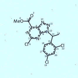 COC(=O)c1nc(Cl)nc2c1nnn2C(C)c1ccc(Cl)cc1Cl